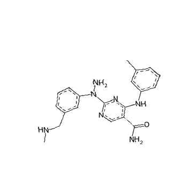 CNCc1cccc(N(N)c2ncc(C(N)=O)c(Nc3cccc(C)c3)n2)c1